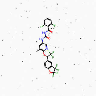 Cc1cc(NC(=O)NC(=O)c2c(F)cccc2F)cnc1OC(c1ccc2c(c1)C(F)(F)C(F)(F)O2)C(F)(F)F